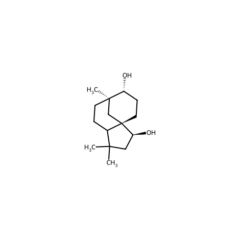 CC1(C)C[C@H](O)[C@]23CC[C@@H](O)[C@](C)(CCC12)C3